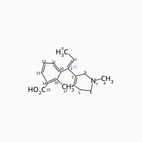 C/C=C(/C1=CCCN(C)C1)c1cccc(C(=O)O)c1C